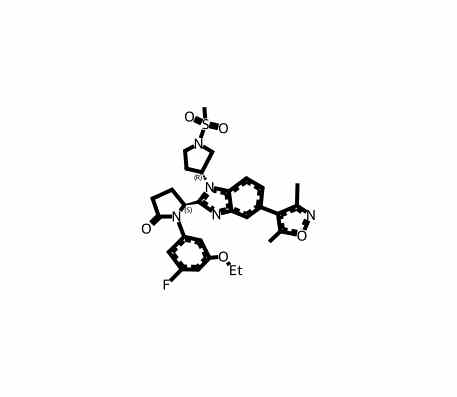 CCOc1cc(F)cc(N2C(=O)CC[C@H]2c2nc3cc(-c4c(C)noc4C)ccc3n2[C@@H]2CCN(S(C)(=O)=O)C2)c1